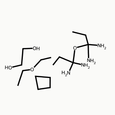 C1CCC1.CCC(N)(N)OC(N)(N)CC.CCOCC.OCCO